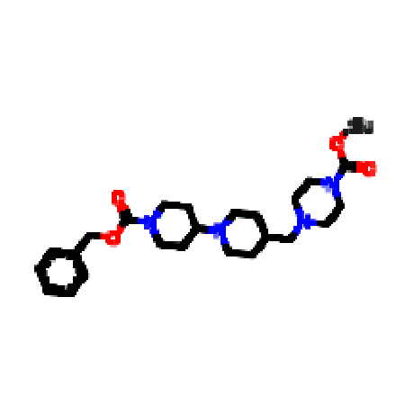 CC(C)(C)OC(=O)N1CCN(CC2CCN(C3CCN(C(=O)OCc4ccccc4)CC3)CC2)CC1